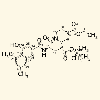 CCOC(=O)N1CCN(C(=O)C(CCC(=O)OC(C)(C)C)NC(=O)c2cc(O)c3c(C)cc(C)cc3n2)CC1